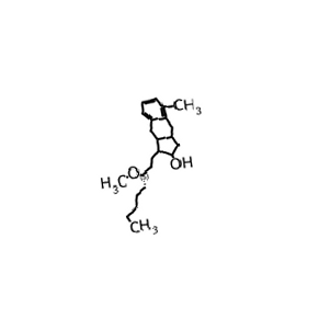 CCCCC[C@@H](CCC1C(O)CC2Cc3c(C)cccc3CC21)OC